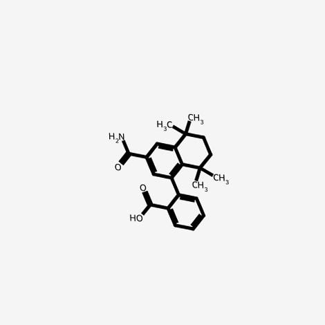 CC1(C)CCC(C)(C)c2c(-c3ccccc3C(=O)O)cc(C(N)=O)cc21